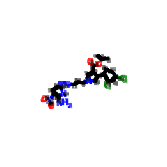 C=C(C)OC(=O)c1cn(CCCNc2ccc([N+](=O)[O-])c(N)n2)cc1-c1ccc(Cl)cc1Cl